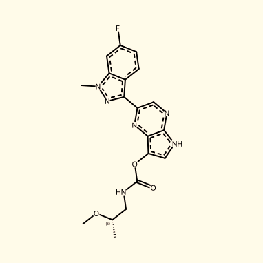 CO[C@@H](C)CNC(=O)Oc1c[nH]c2ncc(-c3nn(C)c4cc(F)ccc34)nc12